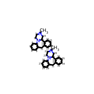 CN1CCN2c3ccccc3Cc3ccccc3C2C1.CN1CCN2c3ccccc3Cc3ccccc3C2C1